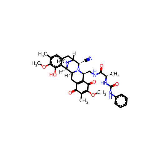 COC1=C(C)C(=O)C2=C(C1=O)[C@H](CNC(=O)[C@H](C)NC(=O)Nc1ccccc1)N1[C@@H](C#N)[C@H]3Cc4cc(C)c(OC)c(O)c4[C@H]([C@@H]1C2)N3C